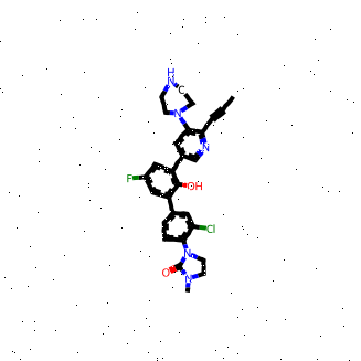 CC#Cc1ncc(-c2cc(F)cc(-c3ccc(N4CCN(C)C4=O)c(Cl)c3)c2O)cc1N1CCNCC1